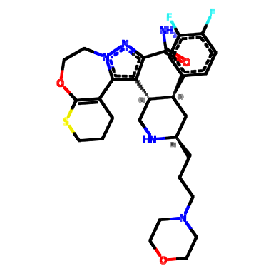 NC(=O)c1nn2c(c1[C@H]1CN[C@H](CCCN3CCOCC3)C[C@@H]1c1ccc(F)c(F)c1)C1=C(OCC2)SCCC1